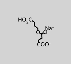 O=C([O-])CCC(=O)OCCCC(=O)O.[Na+]